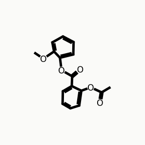 COc1ccccc1OC(=O)c1ccccc1OC(C)=O